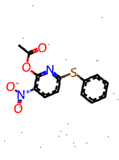 CC(=O)Oc1nc(Sc2ccccc2)ccc1[N+](=O)[O-]